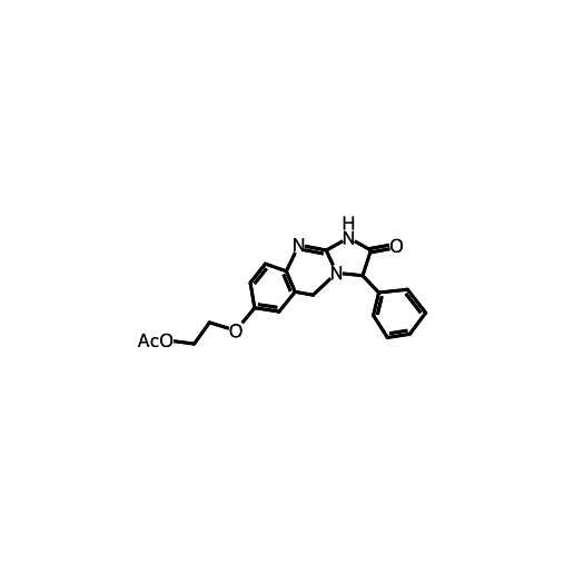 CC(=O)OCCOc1ccc2c(c1)CN1C(=N2)NC(=O)C1c1ccccc1